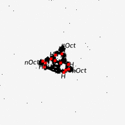 CCCCCCCCc1ccc(C2c3ccc([nH]3)-c3ccc4c5nc6c(nc35)c3nc5c(ccc7c5nc3c3nc5c(ccc(c5nc63)-c3ccc([nH]3)C(c3ccc(CCCCCCCC)cc3)c3ccc-4[nH]3)-c3ccc([nH]3)C(c3ccc(CCCCCCCC)cc3)c3ccc-7[nH]3)-c3ccc2[nH]3)cc1